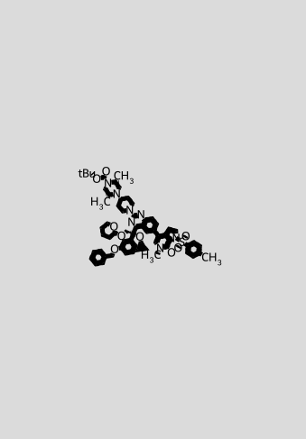 Cc1ccc(S(=O)(=O)n2ccc3c(-c4ccc5nc(N6CCC(N7C[C@@H](C)N(C(=O)OC(C)(C)C)C[C@@H]7C)CC6)nc([C@](COC6CCCCO6)(OC6CC6)c6cccc(OCc7ccccc7)c6)c5c4)cn(C)c(=O)c32)cc1